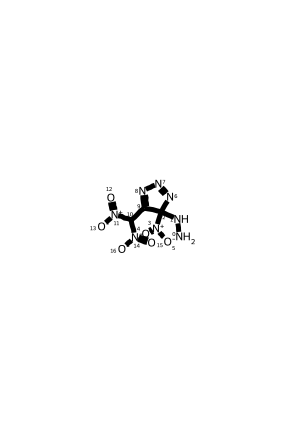 NNC1([N+](=O)[O-])N=NN=C1C([N+](=O)[O-])[N+](=O)[O-]